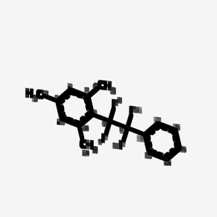 Cc1cc(C)c(C(F)(F)C(F)(F)c2ccccc2)c(C)c1